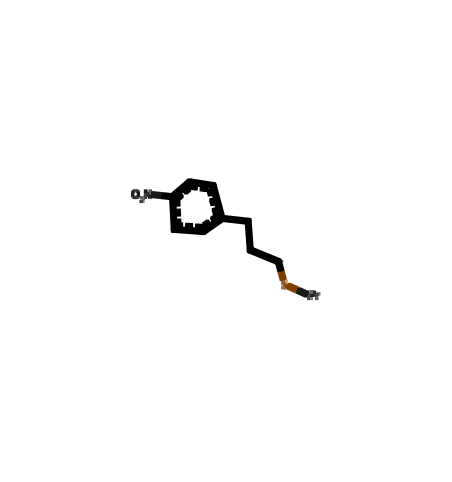 CC(C)S[CH]CCc1ccc([N+](=O)[O-])cc1